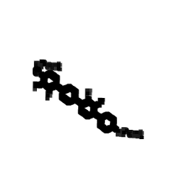 CCCCCOc1ccc(-c2ccc(-c3ccc(C4=CCC(CCCCC)CC4)c(F)c3F)cc2)c(F)c1F